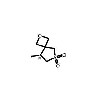 C[C@@H]1CS(=O)(=O)CC12COC2